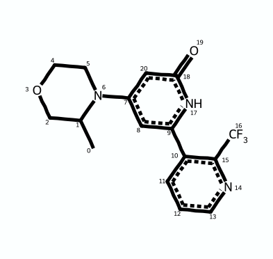 CC1COCCN1c1cc(-c2cccnc2C(F)(F)F)[nH]c(=O)c1